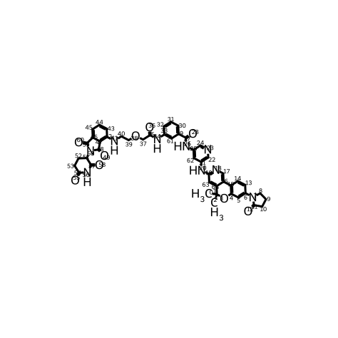 CC1(C)Oc2cc(N3CCCC3=O)ccc2-c2cnc(Nc3cncc(NC(=O)c4cccc(NC(=O)COCCNc5cccc6c5C(=O)N(C5CCC(=O)NC5=O)C6=O)c4)c3)cc21